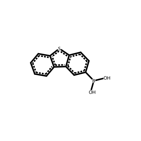 OB(O)c1ccc2sc3ccccc3c2c1